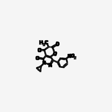 CC1C(=O)Oc2c(-c3cccc([N+](=O)[O-])c3)nn(C3CC3)c(=O)c2C1=O